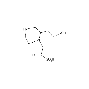 O=S(=O)(O)C(O)CN1CCNCC1CCO